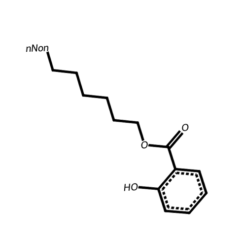 CCCCCCCCCCCCCCCOC(=O)c1ccccc1O